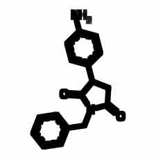 Nc1ccc(C2CC(=O)N(Cc3ccccc3)C2=O)cc1